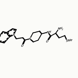 CSCCC(N)C(=O)NC1CCN(C(=O)CCn2ccc3ccncc32)CC1